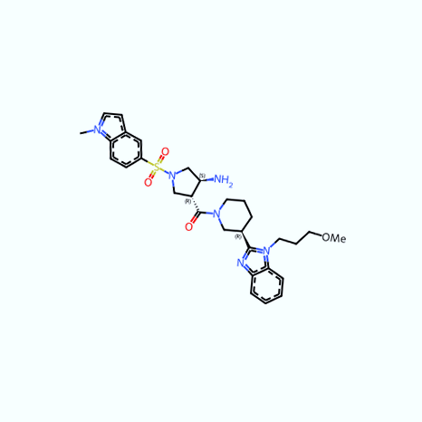 COCCCn1c([C@@H]2CCCN(C(=O)[C@@H]3CN(S(=O)(=O)c4ccc5c(ccn5C)c4)C[C@H]3N)C2)nc2ccccc21